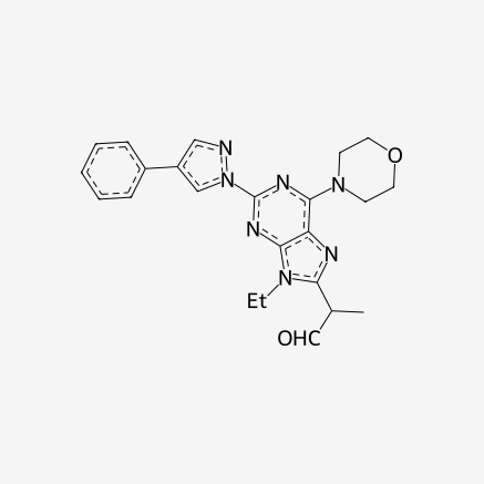 CCn1c(C(C)C=O)nc2c(N3CCOCC3)nc(-n3cc(-c4ccccc4)cn3)nc21